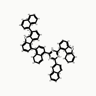 C1=Cc2c(-c3nc(-c4ccc5ccccc5c4)nc(-c4cccc5oc6c(c45)CCC=C6)n3)ccc(-c3cccc4oc5c(-c6cccc7ccccc67)cccc5c34)c2CC1